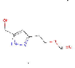 O=COCCc1cc(CO)[nH]n1